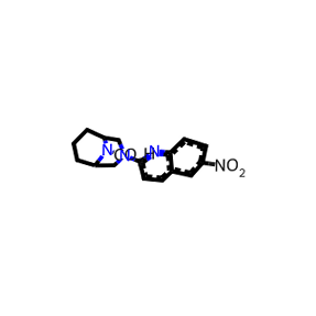 O=C(O)N1C2CCCC1CN(c1ccc3cc([N+](=O)[O-])ccc3n1)C2